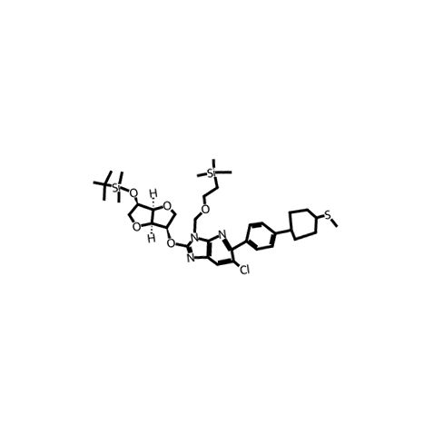 CSC1CCC(c2ccc(-c3nc4c(cc3Cl)nc(O[C@@H]3CO[C@H]5[C@@H]3OC[C@H]5O[Si](C)(C)C(C)(C)C)n4COCC[Si](C)(C)C)cc2)CC1